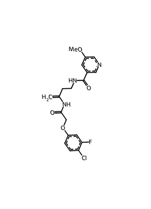 C=C(CCNC(=O)c1cncc(OC)c1)NC(=O)COc1ccc(Cl)c(F)c1